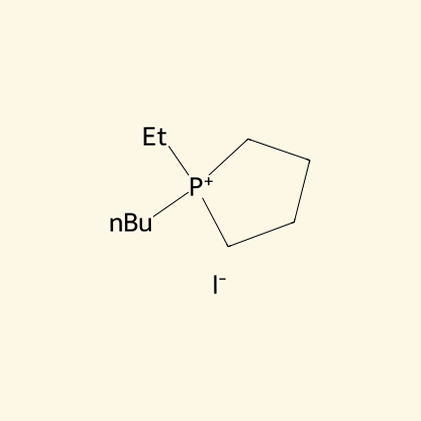 CCCC[P+]1(CC)CCCC1.[I-]